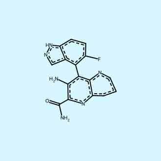 NC(=O)c1nc2cccnc2c(-c2c(F)ccc3[nH]ncc23)c1N